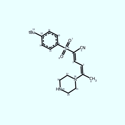 CC(=CC=C(C#N)S(=O)(=O)c1ccc(C(C)(C)C)cc1)N1CCNCC1